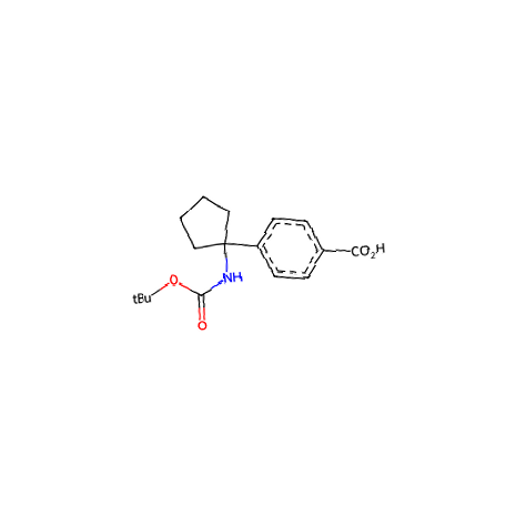 CC(C)(C)OC(=O)NC1(c2ccc(C(=O)O)cc2)CCCC1